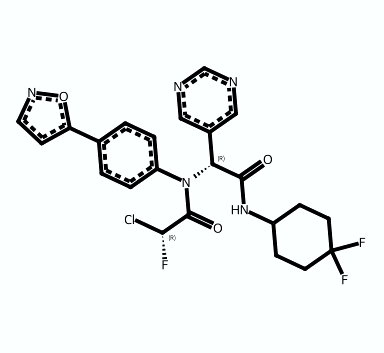 O=C(NC1CCC(F)(F)CC1)[C@@H](c1cncnc1)N(C(=O)[C@H](F)Cl)c1ccc(-c2ccno2)cc1